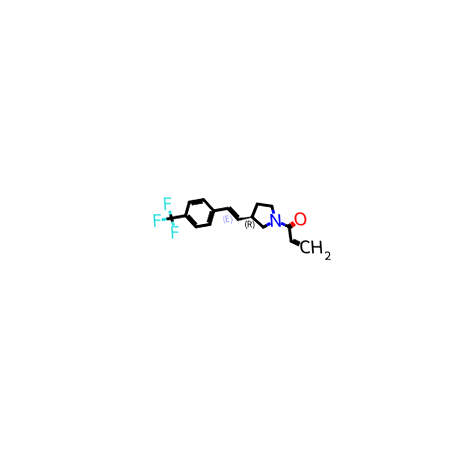 C=CC(=O)N1CC[C@H](/C=C/c2ccc(C(F)(F)F)cc2)C1